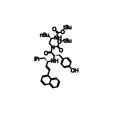 CCCC[C@@H](CN(C(=O)OC(C)(C)C)C(=O)[C@H](Cc1ccc(O)cc1)N[C@H](/C=C/c1cccc2ccccc12)CC(C)C)NC(=O)OC(C)(C)C